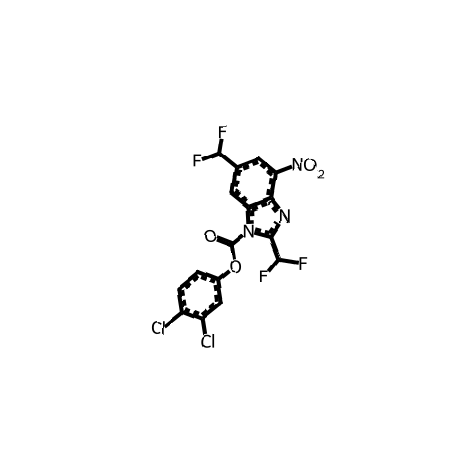 O=C(Oc1ccc(Cl)c(Cl)c1)n1c(C(F)F)nc2c([N+](=O)[O-])cc(C(F)F)cc21